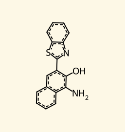 Nc1c(O)c(-c2nc3ccccc3s2)cc2ccccc12